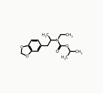 CCN(C(=O)OC(C)C)C(C)Cc1ccc2c(c1)OCO2